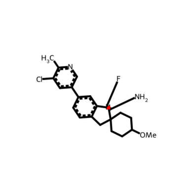 COC1CCC2(CC1)Cc1ccc(-c3cnc(C)c(Cl)c3)cc1C21C=C(F)C(N)=N1